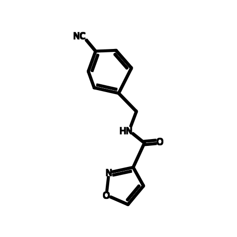 N#Cc1ccc(CNC(=O)c2ccon2)cc1